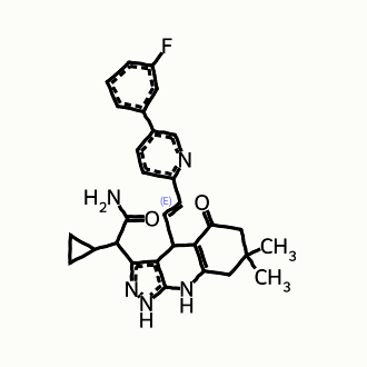 CC1(C)CC(=O)C2=C(C1)Nc1[nH]nc(C(C(N)=O)C3CC3)c1C2/C=C/c1ccc(-c2cccc(F)c2)cn1